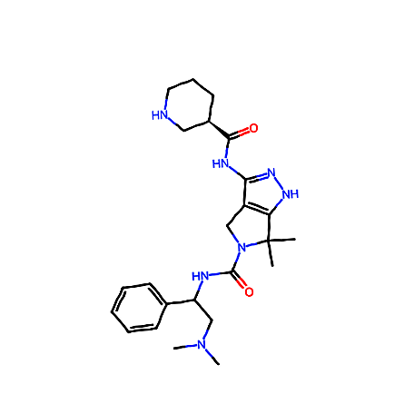 CN(C)CC(NC(=O)N1Cc2c(NC(=O)[C@@H]3CCCNC3)n[nH]c2C1(C)C)c1ccccc1